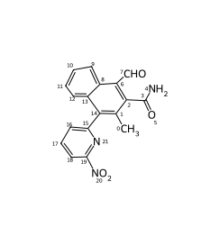 Cc1c(C(N)=O)c(C=O)c2ccccc2c1-c1cccc([N+](=O)[O-])n1